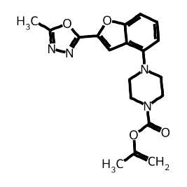 C=C(C)OC(=O)N1CCN(c2cccc3oc(-c4nnc(C)o4)cc23)CC1